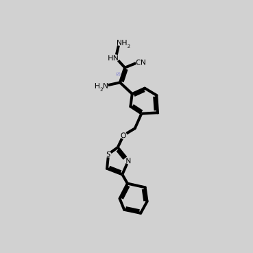 N#C/C(NN)=C(/N)c1cccc(COc2nc(-c3ccccc3)cs2)c1